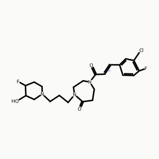 O=C(/C=C/c1ccc(F)c(Cl)c1)N1CCC(=O)N(CCCN2CCC(F)C(O)C2)CC1